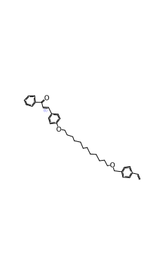 C=Cc1ccc(COCCCCCCCCCCCCOc2ccc(/C=C/C(=O)c3ccccc3)cc2)cc1